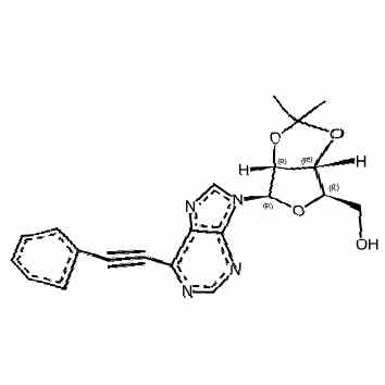 CC1(C)O[C@@H]2[C@H](O1)[C@@H](CO)O[C@H]2n1cnc2c(C#Cc3ccccc3)ncnc21